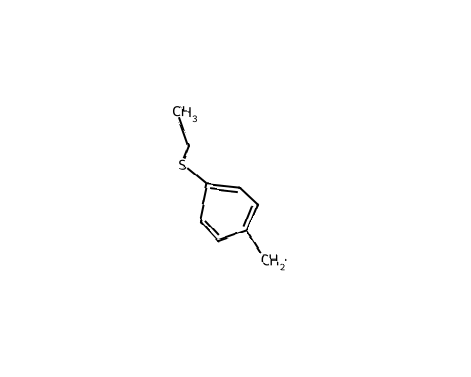 [CH2]c1ccc(SCC)cc1